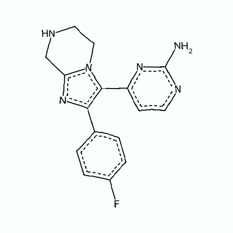 Nc1nccc(-c2c(-c3ccc(F)cc3)nc3n2CCNC3)n1